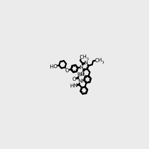 BC(=O)NC(=N)c1ccccc1-c1ccc(Cc2c(CCC)nc(CC)n(-c3ccc(OC4CCCC(O)C4)cc3)c2=O)cc1